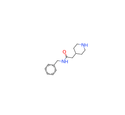 O=C(CC1CCNCC1)NCc1ccccc1